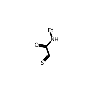 [CH2]CNC(=O)C=S